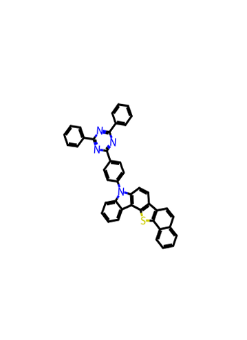 c1ccc(-c2nc(-c3ccccc3)nc(-c3ccc(-n4c5ccccc5c5c6sc7c8ccccc8ccc7c6ccc54)cc3)n2)cc1